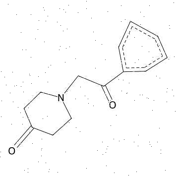 O=C1CCN(CC(=O)c2ccccc2)CC1